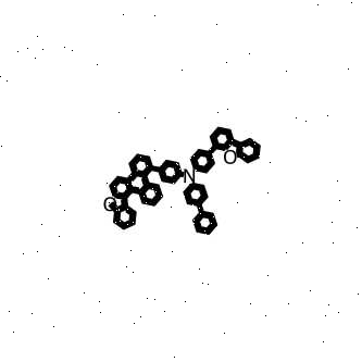 c1ccc(-c2ccc(N(c3ccc(-c4cccc5c4oc4ccccc45)cc3)c3ccc(-c4cccc5c6ccc7oc8ccccc8c7c6c6ccccc6c45)cc3)cc2)cc1